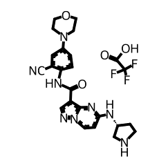 N#Cc1cc(N2CCOCC2)ccc1NC(=O)c1cnn2ccc(N[C@@H]3CCNC3)nc12.O=C(O)C(F)(F)F